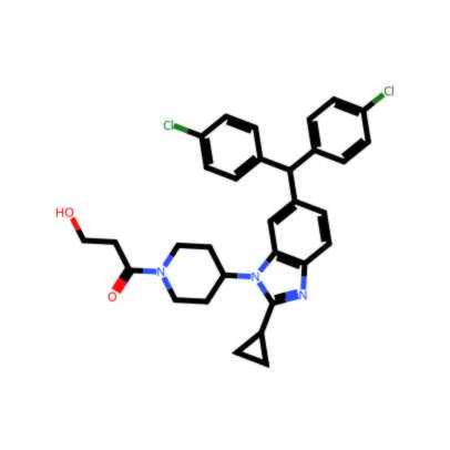 O=C(CCO)N1CCC(n2c(C3CC3)nc3ccc(C(c4ccc(Cl)cc4)c4ccc(Cl)cc4)cc32)CC1